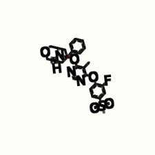 Cc1c(Oc2ccc(S(C)(=O)=O)cc2F)ncnc1OC1CC2COC[C@@H](C1)N2Cc1ccccc1